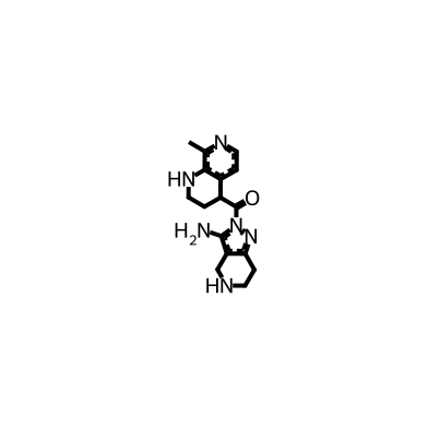 Cc1nccc2c1NCCC2C(=O)n1nc2c(c1N)CNCC2